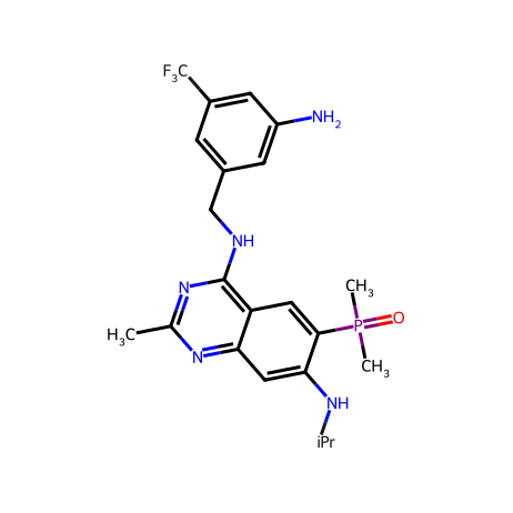 Cc1nc(NCc2cc(N)cc(C(F)(F)F)c2)c2cc(P(C)(C)=O)c(NC(C)C)cc2n1